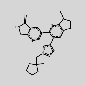 CC1(Cn2cc(-c3cc4c(nc3-c3cnc5c(c3)C(=O)NC5)C(F)CC4)cn2)CCCC1